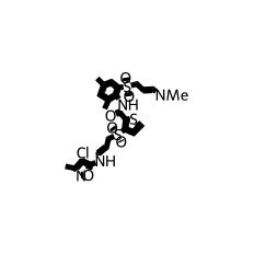 CNC=CCS(=O)(=O)c1cc(C)cc(C)c1NC(=O)c1sccc1S(=O)(=O)CC=CNc1onc(C)c1Cl